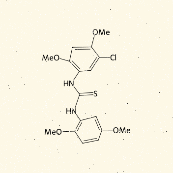 COc1ccc(OC)c(NC(=S)Nc2cc(Cl)c(OC)cc2OC)c1